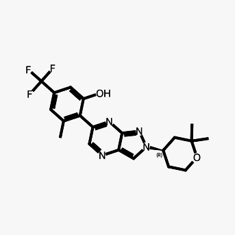 Cc1cc(C(F)(F)F)cc(O)c1-c1cnc2cn([C@@H]3CCOC(C)(C)C3)nc2n1